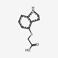 O=C(O)CSc1cccc2[nH]ccc12